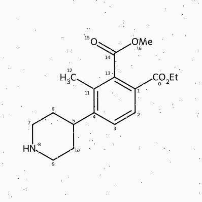 CCOC(=O)c1ccc(C2CCNCC2)c(C)c1C(=O)OC